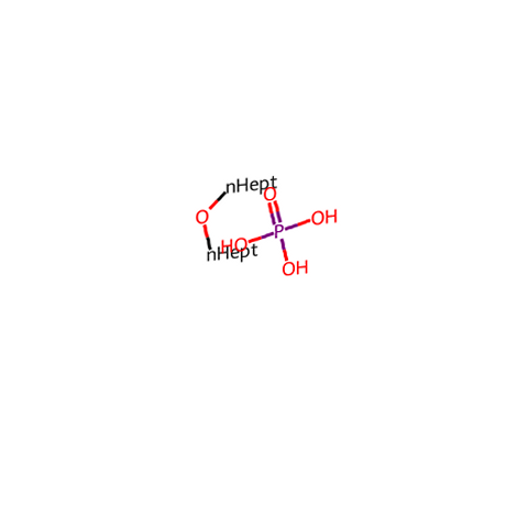 CCCCCCCOCCCCCCC.O=P(O)(O)O